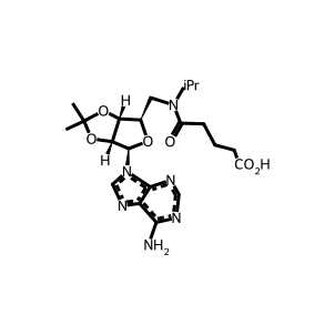 CC(C)N(C[C@H]1O[C@@H](n2cnc3c(N)ncnc32)[C@@H]2OC(C)(C)O[C@@H]21)C(=O)CCCC(=O)O